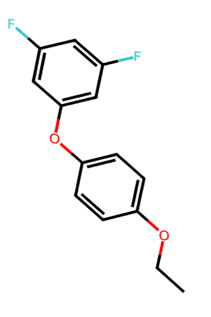 CCOc1ccc(Oc2cc(F)cc(F)c2)cc1